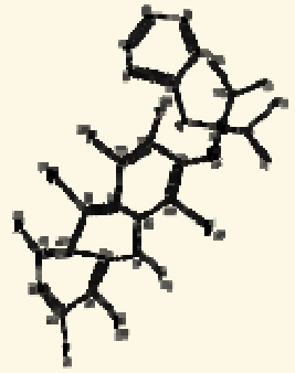 CC(C)[Si](Cc1ccccc1)(Oc1c(F)c(F)c2c(F)c3c(F)[c]c(F)c(F)c3c(F)c2c1F)C(C)C